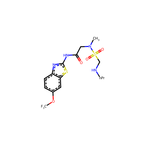 CCCNCS(=O)(=O)N(C)CC(=O)Nc1nc2ccc(OC(F)(F)F)cc2s1